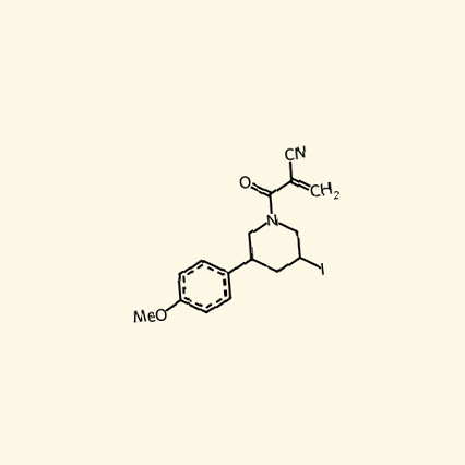 C=C(C#N)C(=O)N1CC(I)CC(c2ccc(OC)cc2)C1